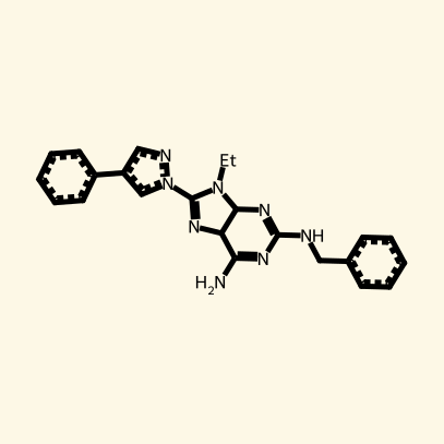 CCN1C(n2cc(-c3ccccc3)cn2)=NC2C(N)=NC(NCc3ccccc3)=NC21